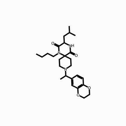 CCCCN1C(=O)C(CC(C)C)NC(=O)C12CCN(C(C)c1ccc3c(c1)OCCO3)CC2